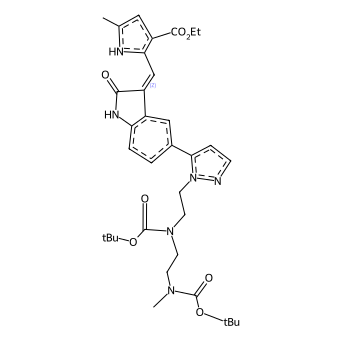 CCOC(=O)c1cc(C)[nH]c1/C=C1\C(=O)Nc2ccc(-c3ccnn3CCN(CCN(C)C(=O)OC(C)(C)C)C(=O)OC(C)(C)C)cc21